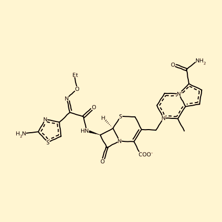 CCO/N=C(\C(=O)N[C@@H]1C(=O)N2C(C(=O)[O-])=C(Cn3cc[n+]4c(C(N)=O)ccc-4c3C)CS[C@H]12)c1csc(N)n1